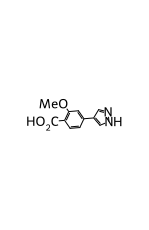 COc1cc(-c2cn[nH]c2)ccc1C(=O)O